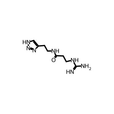 N=C(N)NCCC(=O)NCCc1c[nH]nn1